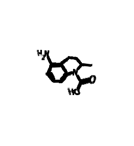 CC1CCc2c(N)cccc2N1C(=O)O